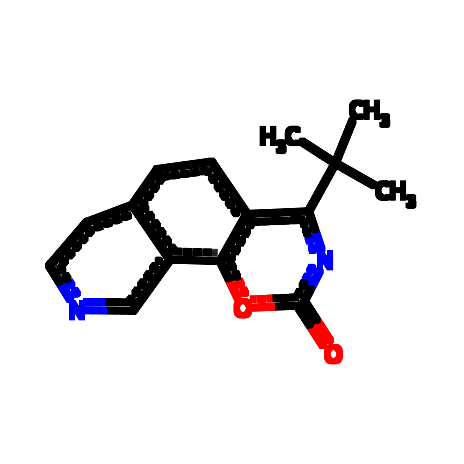 CC(C)(C)c1nc(=O)oc2c1ccc1ccncc12